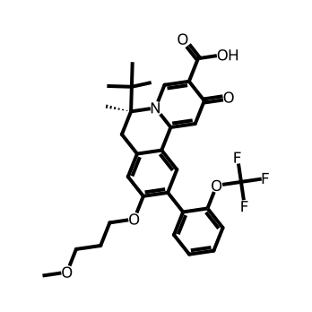 COCCCOc1cc2c(cc1-c1ccccc1OC(F)(F)F)-c1cc(=O)c(C(=O)O)cn1[C@](C)(C(C)(C)C)C2